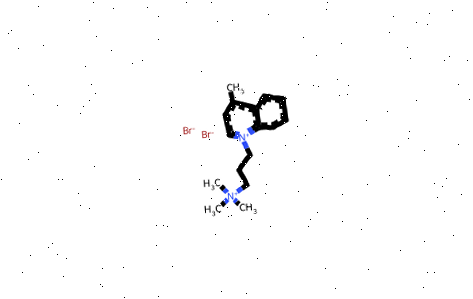 Cc1cc[n+](CCC[N+](C)(C)C)c2ccccc12.[Br-].[Br-]